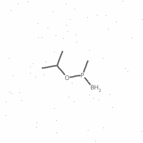 BP(C)OC(C)C